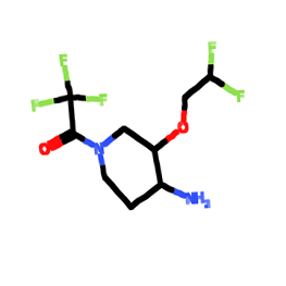 NC1CCN(C(=O)C(F)(F)F)CC1OCC(F)F